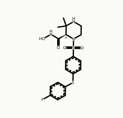 CC1(C)NCCN(S(=O)(=O)c2ccc(Sc3ccc(F)cc3)cc2)[C@H]1C(=O)NO